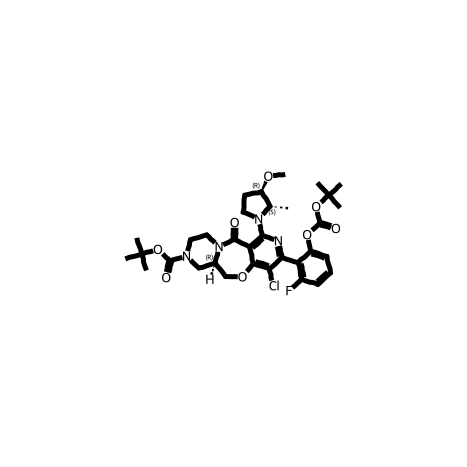 CO[C@@H]1CCN(c2nc(-c3c(F)cccc3OC(=O)OC(C)(C)C)c(Cl)c3c2C(=O)N2CCN(C(=O)OC(C)(C)C)C[C@@H]2CO3)[C@H]1C